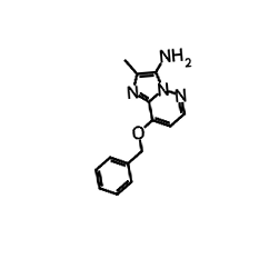 Cc1nc2c(OCc3ccccc3)ccnn2c1N